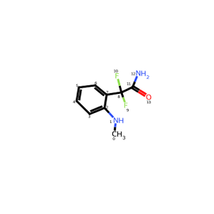 CNc1ccccc1C(F)(F)C(N)=O